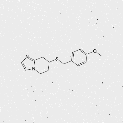 COc1ccc(CSC2CCn3ccnc3C2)cc1